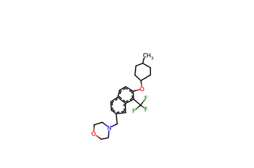 CC1CCC(Oc2ccc3ccc(CN4CCOCC4)cc3c2C(F)(F)F)CC1